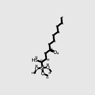 CCCCCCCC(=O)CCC(S)[Si](OC)(OC)OC